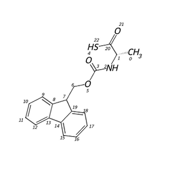 C[C@H](NC(=O)OCC1c2ccccc2-c2ccccc21)C(=O)S